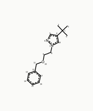 CC(C)(C)c1cnn(CCOCc2ccccc2)c1